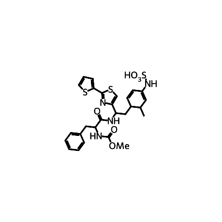 COC(=O)NC(Cc1ccccc1)C(=O)NC(CC1C=CC(NS(=O)(=O)O)=CC1C)c1csc(-c2cccs2)n1